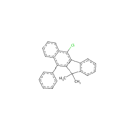 CC1(C)c2ccccc2-c2c1c(-c1ccccc1)c1ccccc1c2Cl